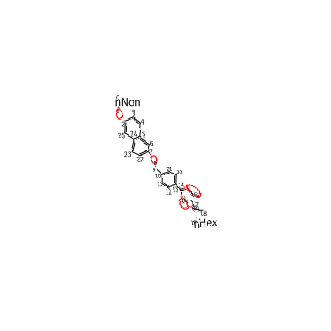 CCCCCCCCCOc1ccc2cc(OCc3ccc(C(=O)O[C@H](C)CCCCCC)cc3)ccc2c1